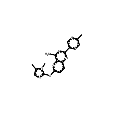 Cc1cnc(-c2nc(N)c3nc(Sc4ncc(C)n4C)ccc3n2)cn1